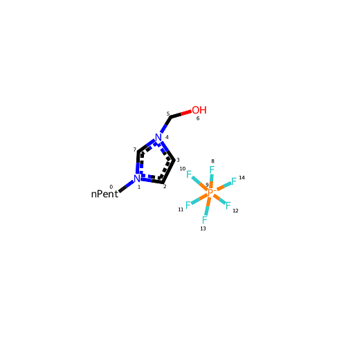 CCCCC[n+]1ccn(CO)c1.F[P-](F)(F)(F)(F)F